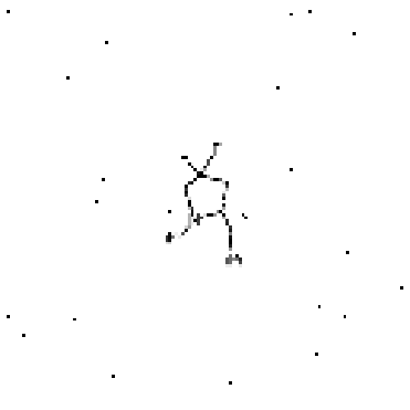 CC(C)CC1CC(F)(F)CN1C(C)C